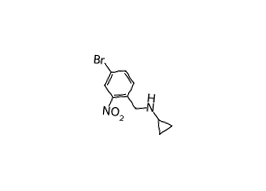 O=[N+]([O-])c1cc(Br)ccc1CNC1CC1